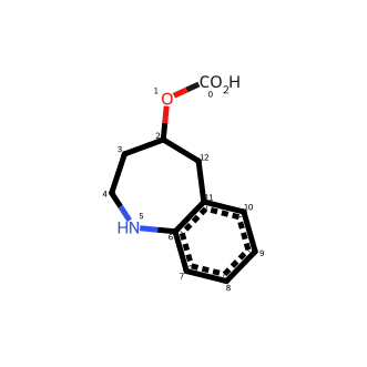 O=C(O)OC1CCNc2ccccc2C1